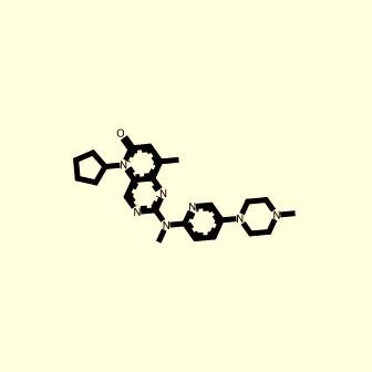 Cc1cc(=O)n(C2CCCC2)c2cnc(N(C)c3ccc(N4CCN(C)CC4)cn3)nc12